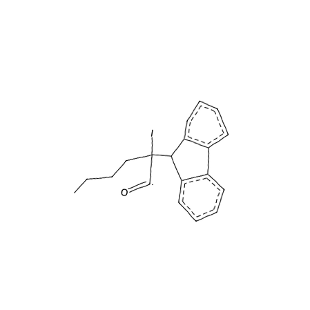 CCCCC(I)([C]=O)C1c2ccccc2-c2ccccc21